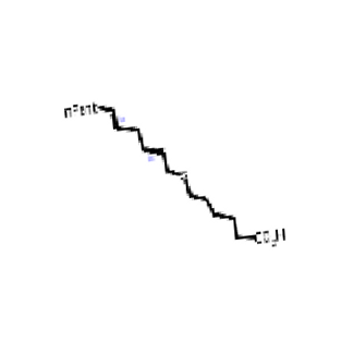 CCCCC/C=C/C/C=C/CSCCCCCC(=O)O